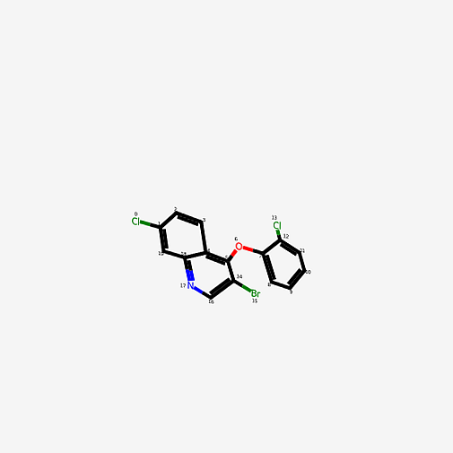 Clc1ccc2c(Oc3ccccc3Cl)c(Br)cnc2c1